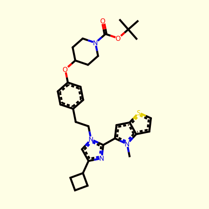 Cn1c(-c2nc(C3CCC3)cn2CCc2ccc(OC3CCN(C(=O)OC(C)(C)C)CC3)cc2)cc2sccc21